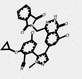 Cn1ncc(-c2cc(Cl)c3c(=O)[nH]nc(CN4C(=O)c5ccccc5C4=O)c3c2)c1-c1cc(Cl)cc(OC2CC2)c1C#N